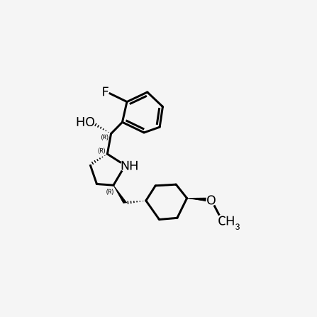 CO[C@H]1CC[C@H](C[C@H]2CC[C@H]([C@H](O)c3ccccc3F)N2)CC1